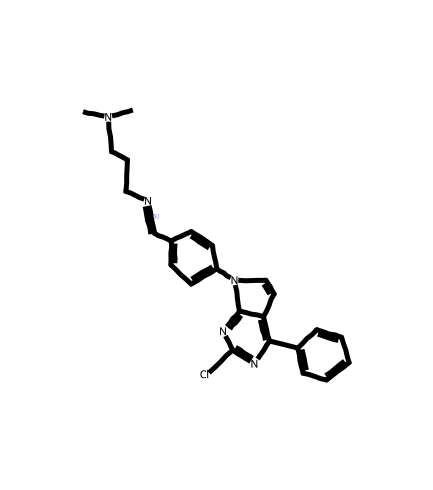 CN(C)CCC/N=C/c1ccc(-n2ccc3c(-c4ccccc4)nc(Cl)nc32)cc1